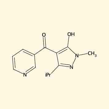 CC(C)c1nn(C)c(O)c1C(=O)c1cccnc1